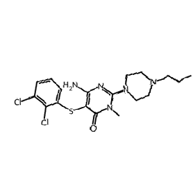 CCCN1CCN(c2nc(N)c(Sc3cccc(Cl)c3Cl)c(=O)n2C)CC1